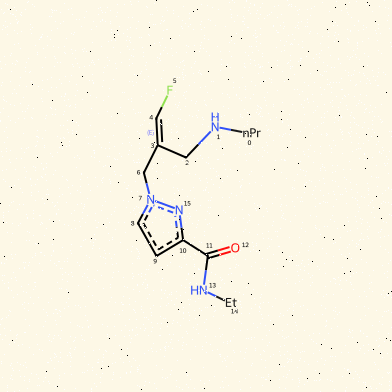 CCCNC/C(=C\F)Cn1ccc(C(=O)NCC)n1